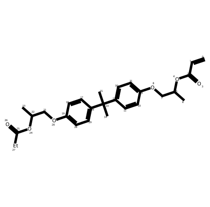 C=CC(=O)OC(C)COc1ccc(C(C)(C)c2ccc(OCC(C)OC(=O)CC)cc2)cc1